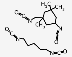 CC1(C)CC(N=C=O)CC(C)(CN=C=O)C1.O=C=NCCCCCN=C=O